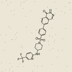 O=c1[nH]ncc2cc(-c3ccc(S(=O)(=O)N4CCC(Nc5ccc(C(F)(F)F)cn5)CC4)cc3)ccc12